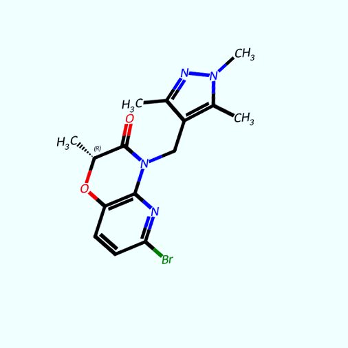 Cc1nn(C)c(C)c1CN1C(=O)[C@@H](C)Oc2ccc(Br)nc21